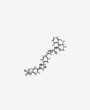 Cc1cccc(C)c1N1/C(=N/C(=O)N/C=C/c2ccc(-c3ncn(-c4ccc(OC(F)(F)F)cc4)n3)cc2)SCCC1C